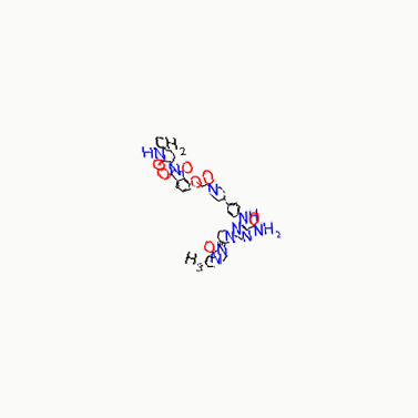 C=C1CCC(N2C(=O)c3cccc(OCC(=O)N4CCC(c5ccc(Nc6nc(N7CCC[C@@H](N8CCN(C)C8=O)C7)cnc6C(N)=O)cc5)CC4)c3C2=O)C(=O)N1